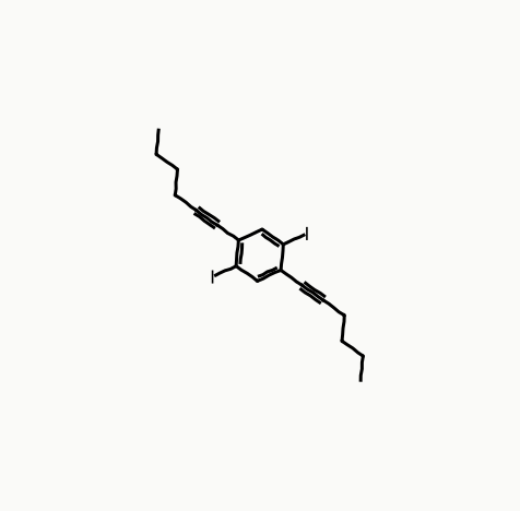 CCCCC#Cc1cc(I)c(C#CCCCC)cc1I